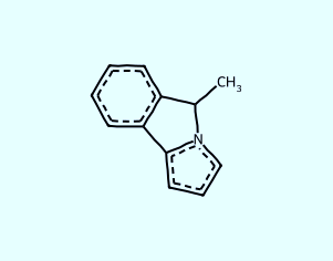 CC1c2ccccc2-c2cccn21